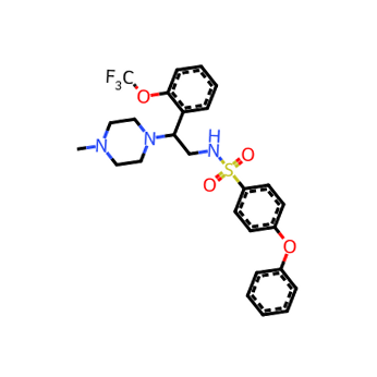 CN1CCN(C(CNS(=O)(=O)c2ccc(Oc3ccccc3)cc2)c2ccccc2OC(F)(F)F)CC1